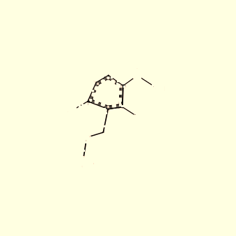 COCc1c(F)ccc(OC)c1F